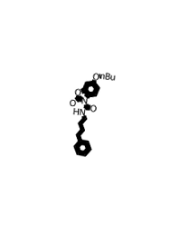 CCCCOc1ccc2c(c1)oc(=O)n2C(=O)NCCCCc1ccccc1